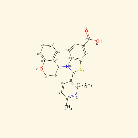 Cc1ccc(C2Sc3cc(C(=O)O)ccc3N2C2CCOc3ccccc32)c(C)n1